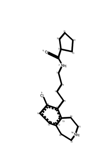 O=C(NCCCCc1c(Cl)ccc2c1CCNCC2)C1CCCC1